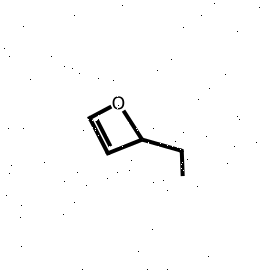 CCC1C=CO1